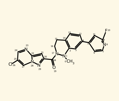 CN1c2cc(-c3ccnc(F)c3)ccc2CCN1C(=O)c1cc2ncc(Cl)cn2n1